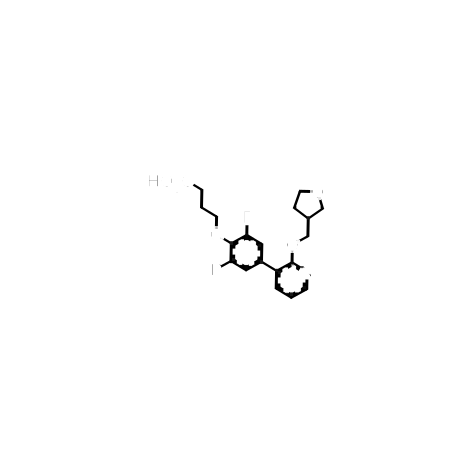 O=C(O)CCCOc1c(F)cc(-c2cccnc2OCC2CCOC2)cc1F